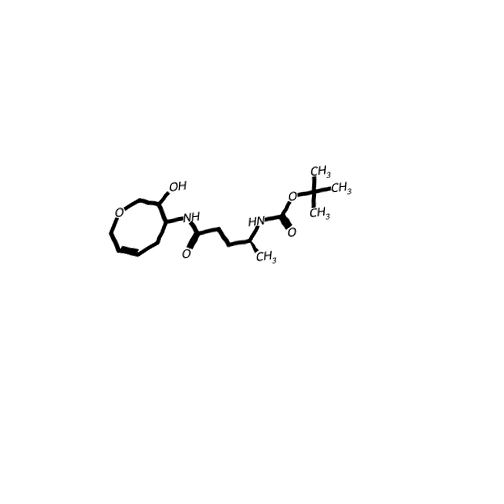 C[C@@H](CCC(=O)NC1CC=CCOCC1O)NC(=O)OC(C)(C)C